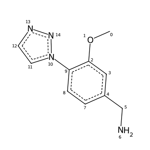 COc1cc(CN)ccc1-n1ccnn1